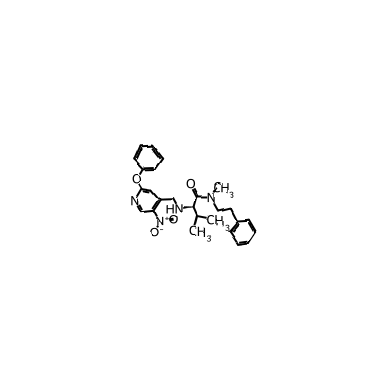 CC(C)[C@@H](NCc1cc(Oc2ccccc2)ncc1[N+](=O)[O-])C(=O)N(C)CCc1ccccc1